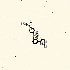 CC(C)(C)OC(=O)N1CCC(N(Cc2cccc(-c3nc(Cl)ncc3F)c2)S(C)(=O)=O)CC1